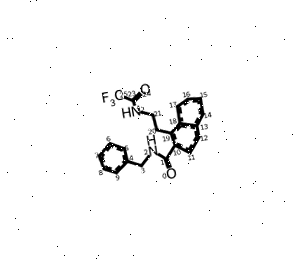 O=C(NCc1ccccc1)c1ccc2ccccc2c1CCNC(=O)C(F)(F)F